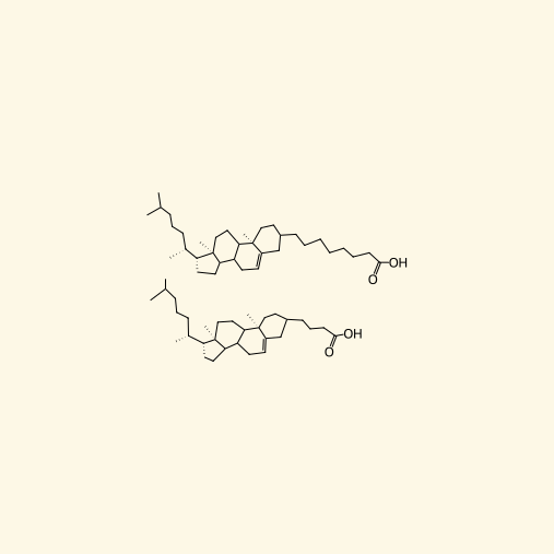 CC(C)CCC[C@@H](C)[C@H]1CCC2C3CC=C4CC(CCCC(=O)O)CC[C@]4(C)C3CC[C@@]21C.CC(C)CCC[C@@H](C)[C@H]1CCC2C3CC=C4CC(CCCCCCCC(=O)O)CC[C@]4(C)C3CC[C@@]21C